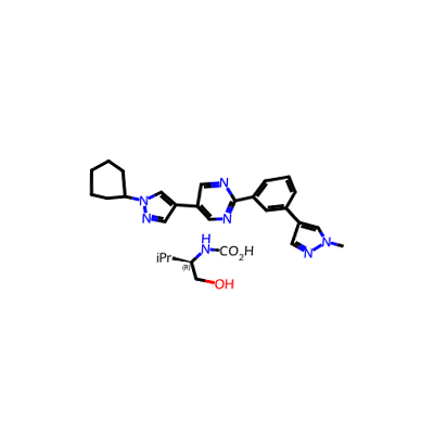 CC(C)[C@H](CO)NC(=O)O.Cn1cc(-c2cccc(-c3ncc(-c4cnn(C5CCCCC5)c4)cn3)c2)cn1